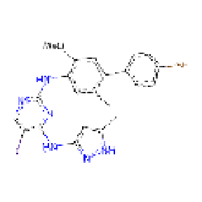 COc1cc(-c2ccc(S)cc2)c(C)cc1Nc1ncc(I)c(Nc2cc(C)[nH]n2)n1